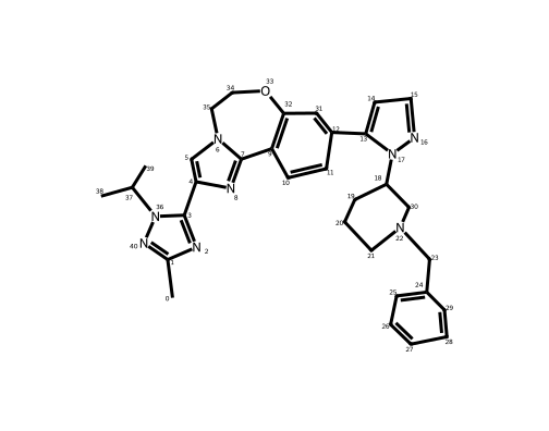 Cc1nc(-c2cn3c(n2)-c2ccc(-c4ccnn4C4CCCN(Cc5ccccc5)C4)cc2OCC3)n(C(C)C)n1